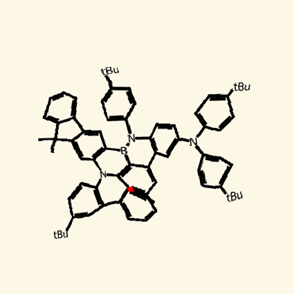 Cc1cc2c3c(c1)N(c1ccc(C(C)(C)C)cc1-c1ccccc1)c1cc4c(cc1B3N(c1ccc(C(C)(C)C)cc1)c1ccc(N(c3ccc(C(C)(C)C)cc3)c3ccc(C(C)(C)C)cc3)cc1-2)-c1ccccc1C4(C)C